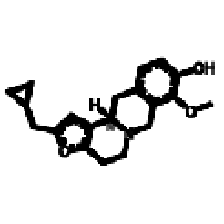 COc1c(O)ccc2c1CN1CCc3oc(CC4CC4)cc3[C@@H]1C2